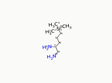 C[Si](C)(C)CCCC(N)CN